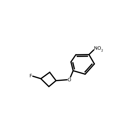 O=[N+]([O-])c1ccc(OC2CC(F)C2)cc1